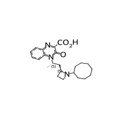 C[C@@H](C[C@@H]1CCN1C1CCCCCCC1)n1c(=O)c(C(=O)O)nc2ccccc21